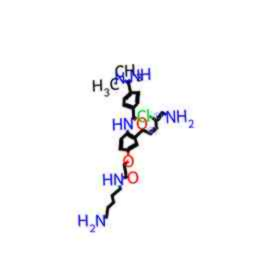 CN(C)C(=N)c1ccc(C(=O)Nc2ccc(OCC(=O)NCCCCCN)cc2C/C=C\C(Cl)=C/N)cc1